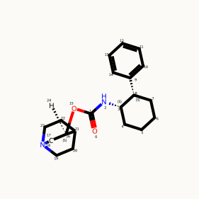 O=C(N[C@H]1CCCC[C@H]1c1ccccc1)O[C@@H]1CN2CCC1CC2